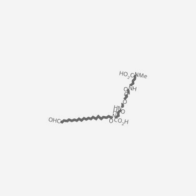 CN[C@@H](CCCCNC(=O)COCCOCCNC(=O)CC[C@H](NC(=O)CCCCCCCCCCCCCCCCCCCCC=O)C(=O)O)C(=O)O